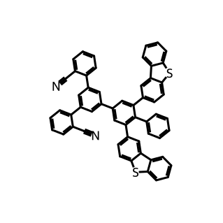 N#Cc1ccccc1-c1cc(-c2cc(-c3ccc4sc5ccccc5c4c3)c(-c3ccccc3)c(-c3ccc4sc5ccccc5c4c3)c2)cc(-c2ccccc2C#N)c1